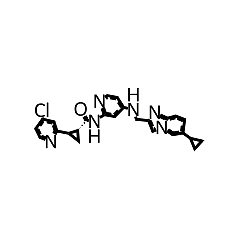 O=C(Nc1cc(NCc2cn3cc(C4CC4)ccc3n2)ccn1)[C@@H]1CC1c1cc(Cl)ccn1